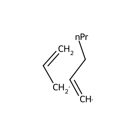 [CH2]C=C.[CH]=CCCCC